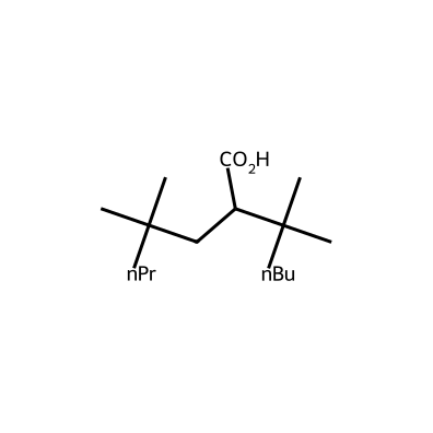 CCCCC(C)(C)C(CC(C)(C)CCC)C(=O)O